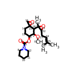 COC1C(OC(=O)N2CCCCC2)CCC2(CO2)C1C1(C)OC1CC=C(C)C